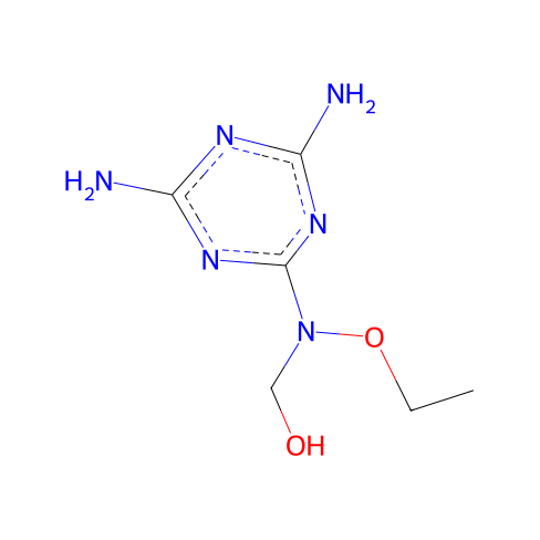 CCON(CO)c1nc(N)nc(N)n1